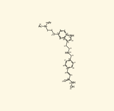 CCCN(CCOc1ccc2[nH]cc(CCNCc3ccc(/C=C/C(=O)NO)cc3)c2c1)C(C)=O